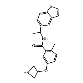 Cc1ccc(OC2CNC2)cc1C(=O)NC(C)c1ccc2sccc2c1